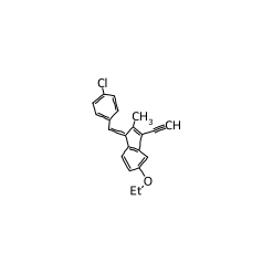 C#CC1=C(C)C(=Cc2ccc(Cl)cc2)c2ccc(OCC)cc21